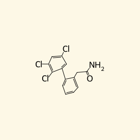 NC(=O)Cc1ccccc1-c1cc(Cl)cc(Cl)c1Cl